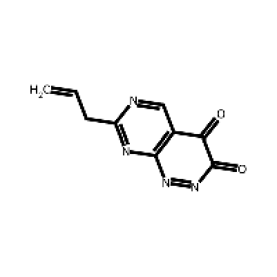 C=CCc1ncc2c(n1)N=NC(=O)C2=O